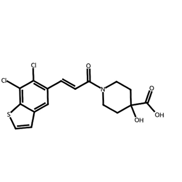 O=C(C=Cc1cc2ccsc2c(Cl)c1Cl)N1CCC(O)(C(=O)O)CC1